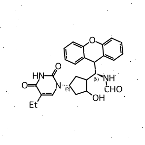 CCc1cn([C@H]2CC(O)C([C@H](NC=O)C3c4ccccc4Oc4ccccc43)C2)c(=O)[nH]c1=O